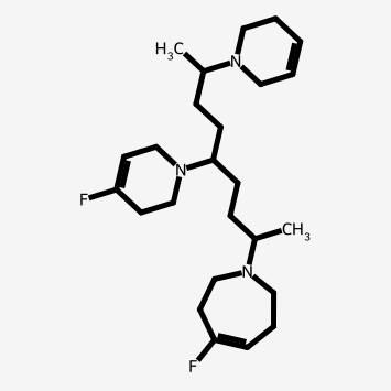 CC(CCC(CCC(C)N1CCC=C(F)CC1)N1CC=C(F)CC1)N1CC=CCC1